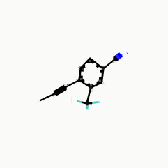 CC#Cc1ccc(C#N)cc1C(F)(F)F